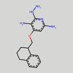 NNc1nc(N)cc(OCC2CCCc3ccccc32)c1N